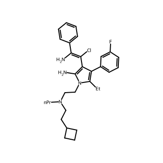 CCCN(CCC1CCC1)CCn1c(N)c(/C(Cl)=C(\N)c2ccccc2)c(-c2cccc(F)c2)c1CC